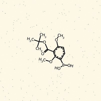 COc1ccc(B(O)O)c(OC)c1C(=O)OC(C)(C)C